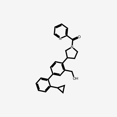 O=C(c1ccccn1)N1CCC(c2ccc(-c3ccccc3C3CC3)cc2CO)C1